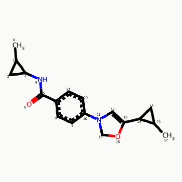 CC1CC1NC(=O)c1ccc(N2C=C(C3CC3C)OC2)cc1